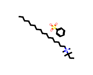 CCCCCCCCCCCCCCCC[N+](C)(C)C(C)(C)CC.O=S(=O)([O-])c1ccccc1